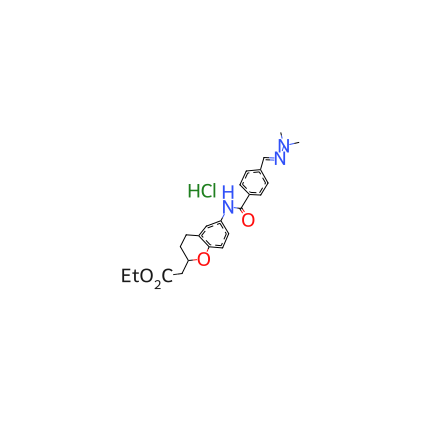 CCOC(=O)CC1CCc2cc(NC(=O)c3ccc(C=NN(C)C)cc3)ccc2O1.Cl